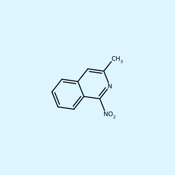 Cc1cc2ccccc2c([N+](=O)[O-])n1